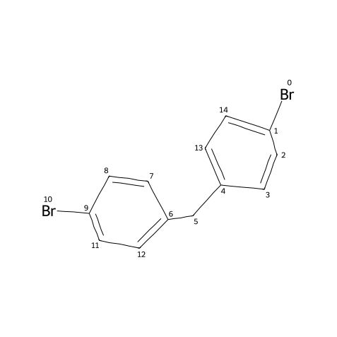 Brc1ccc(Cc2ccc(Br)cc2)cc1